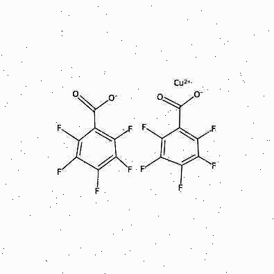 O=C([O-])c1c(F)c(F)c(F)c(F)c1F.O=C([O-])c1c(F)c(F)c(F)c(F)c1F.[Cu+2]